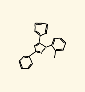 Cc1ccccc1-n1nc(-c2ccccc2)cc1-c1ccccc1